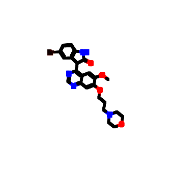 COc1cc2c(C3C(=O)Nc4ccc(Br)cc43)ncnc2cc1OCCCN1CCOCC1